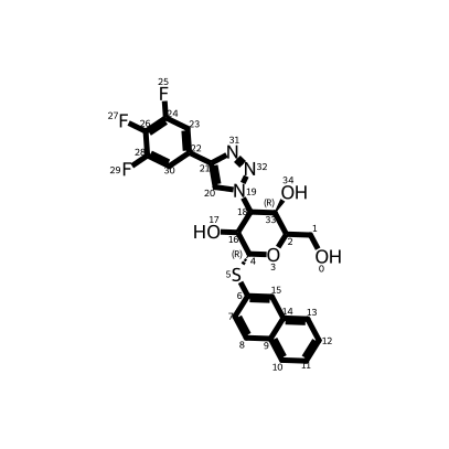 OCC1O[C@H](Sc2ccc3ccccc3c2)C(O)C(n2cc(-c3cc(F)c(F)c(F)c3)nn2)[C@H]1O